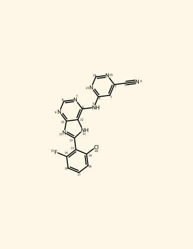 N#Cc1cc(Nc2ncnc3nc(-c4c(F)cccc4Cl)[nH]c23)ncn1